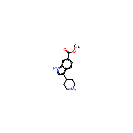 COC(=O)c1ccc2c(C3CCNCC3)c[nH]c2c1